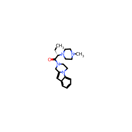 CC[C@@H](C(=O)N1CCn2c(cc3ccccc32)C1)N1CCN(C)CC1